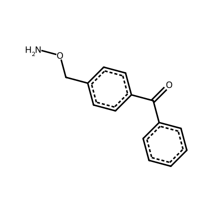 NOCc1ccc(C(=O)c2ccccc2)cc1